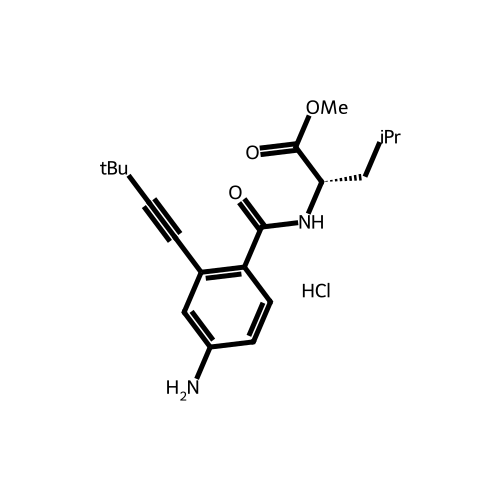 COC(=O)[C@H](CC(C)C)NC(=O)c1ccc(N)cc1C#CC(C)(C)C.Cl